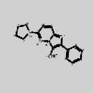 O=Cc1c(-c2ccccc2)nc2ccc(N3CCCC3)nn12